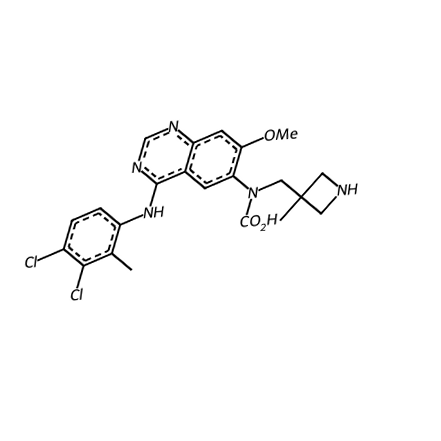 COc1cc2ncnc(Nc3ccc(Cl)c(Cl)c3C)c2cc1N(CC1(C)CNC1)C(=O)O